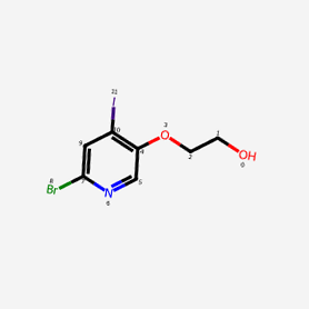 OCCOc1cnc(Br)cc1I